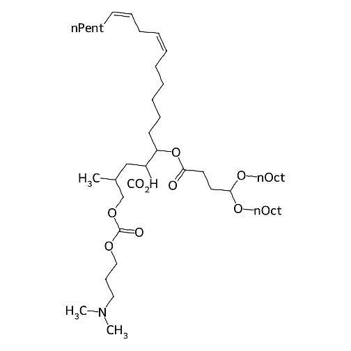 CCCCC/C=C\C/C=C\CCCCCC(OC(=O)CCC(OCCCCCCCC)OCCCCCCCC)C(CC(C)COC(=O)OCCCN(C)C)C(=O)O